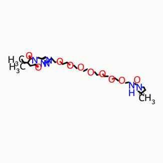 CC(C)C1CC(=O)N(Cc2cn(CCOCCOCCOCCOCCOCCOCCOCCNC(=O)N3CC[C@@H](C)C3)nn2)C1=O